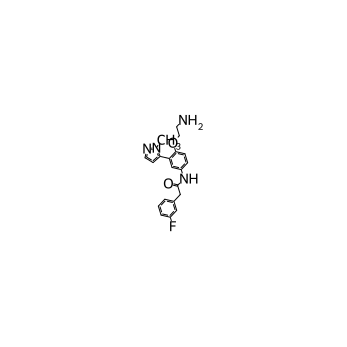 Cn1nccc1-c1cc(NC(=O)Cc2cccc(F)c2)ccc1OCCN